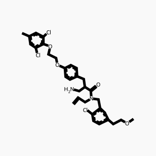 C=CCN(Cc1cc(CCOC)ccc1Cl)C(=O)C(CN)Cc1ccc(OCCOc2c(Cl)cc(C)cc2Cl)cc1